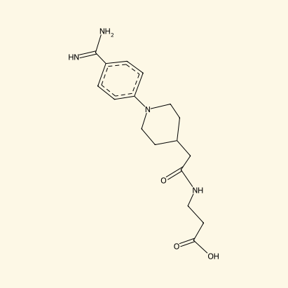 N=C(N)c1ccc(N2CCC(CC(=O)NCCC(=O)O)CC2)cc1